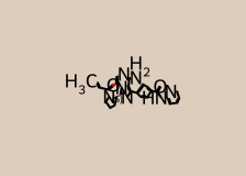 CC=CC(=O)N1CCC[C@H]1c1nc(-c2ccc(C(=O)Nc3ccccn3)cc2)c2c(N)nccn12